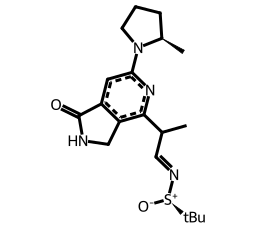 CC(/C=N/[S@+]([O-])C(C)(C)C)c1nc(N2CCC[C@H]2C)cc2c1CNC2=O